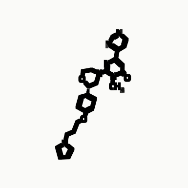 Cn1c(N2CCO[C@@H](c3ccc(OCCCn4cccc4)cc3)C2)nc(-c2ccncn2)cc1=O